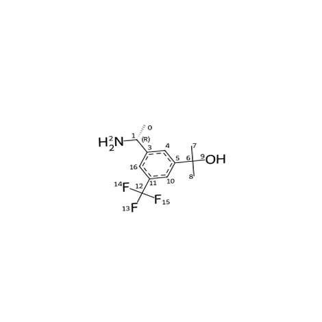 C[C@@H](N)c1cc(C(C)(C)O)cc(C(F)(F)F)c1